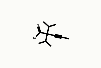 CC#CC(C(=O)O)(C(C)C)C(C)C